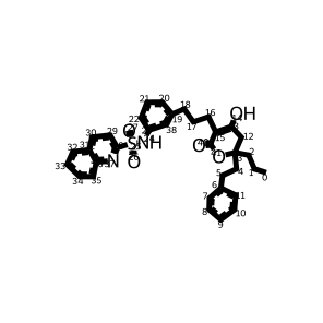 CCCC1(CCc2ccccc2)CC(O)=C(CCCc2cccc(NS(=O)(=O)c3ccc4ccccc4n3)c2)C(=O)O1